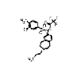 CCCN1CCc2ccc(N(OC(=O)C(F)(F)F)S(=O)(=O)c3ccc(C)c(Cl)c3)cc2CC1